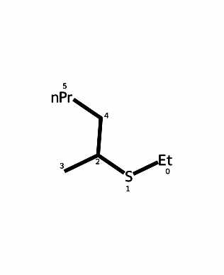 [CH2]CSC(C)CCCC